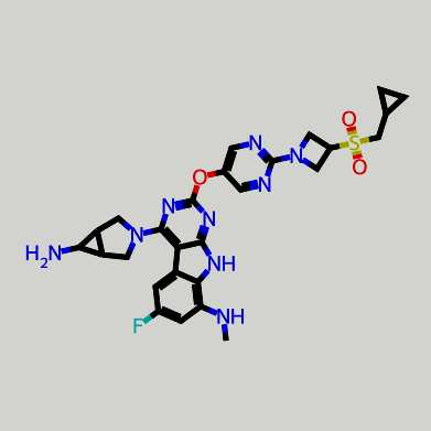 CNc1cc(F)cc2c1[nH]c1nc(Oc3cnc(N4CC(S(=O)(=O)CC5CC5)C4)nc3)nc(N3CC4C(N)C4C3)c12